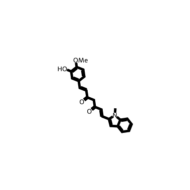 COc1ccc(/C=C/C(=O)CC(=O)/C=C/c2cc3ccccc3n2C)cc1O